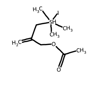 C=C(COC(C)=O)C[SH](C)(C)(C)I